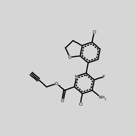 C#CCOC(=O)c1nc(-c2ccc(Cl)c3c2OCC3)c(F)c(N)c1Cl